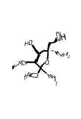 NC1(O)O[C@](N)(CO)C(O)=C1O